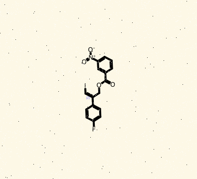 O=C(OC/C(=C\I)c1ccc(F)cc1)c1cccc([N+](=O)[O-])c1